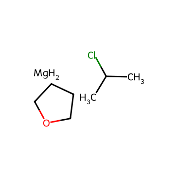 C1CCOC1.CC(C)Cl.[MgH2]